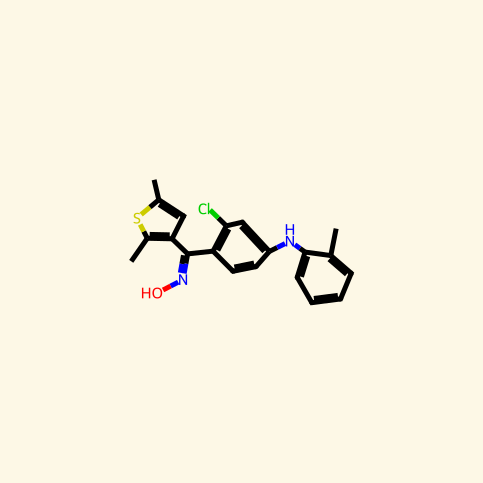 Cc1cc(C(=NO)c2ccc(Nc3ccccc3C)cc2Cl)c(C)s1